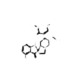 CC[C@@H]1CN2CC[C@]3(Nc4cccc(O)c4C3=O)C2C[C@@H]1C(=COC)C(=O)OC